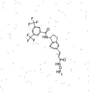 O=C(/C=C/c1ccc2c(c1)CCC2NC(=O)c1cc(C(F)(F)F)cc(C(F)(F)F)c1)NOPI